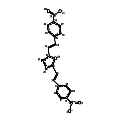 O=[N+]([O-])c1ccc(C=Cc2nnc(C=Cc3ccc([N+](=O)[O-])cc3)o2)cc1